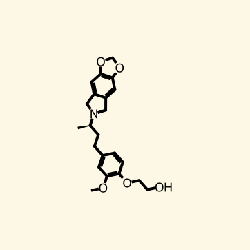 COc1cc(CC[C@@H](C)N2Cc3cc4c(cc3C2)OCO4)ccc1OCCO